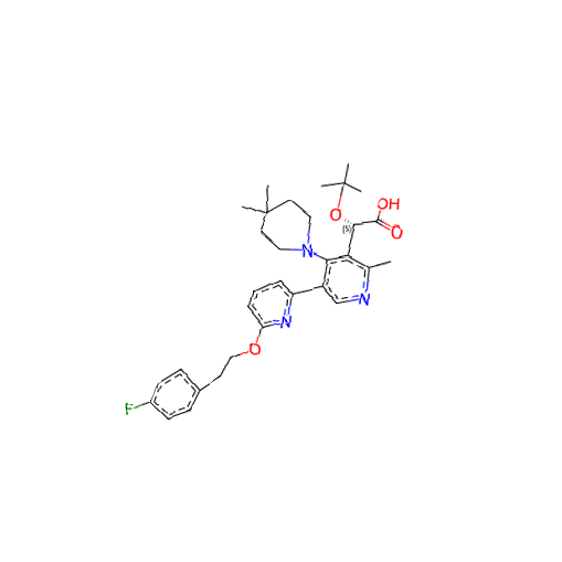 Cc1ncc(-c2cccc(OCCc3ccc(F)cc3)n2)c(N2CCC(C)(C)CC2)c1[C@H](OC(C)(C)C)C(=O)O